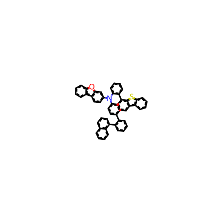 c1ccc(-c2cccc3ccccc23)c(-c2ccc(N(c3ccc4c(c3)oc3ccccc34)c3ccccc3-c3cccc4c3sc3ccccc34)cc2)c1